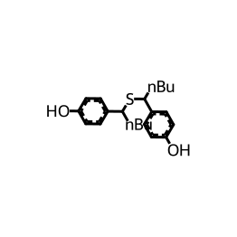 CCCCC(SC(CCCC)c1ccc(O)cc1)c1ccc(O)cc1